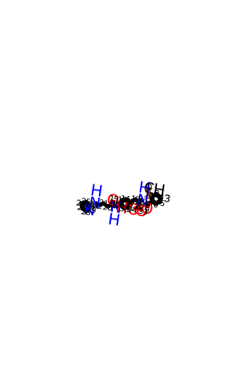 CSc1ccccc1C(=O)NC(Cc1ccc(NC(=O)CCCNc2ccccn2)cc1)C(=O)O